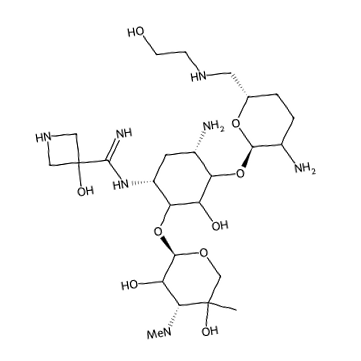 CN[C@@H]1C(O)[C@@H](OC2C(O)C(O[C@H]3O[C@H](CNCCO)CCC3N)[C@@H](N)C[C@H]2NC(=N)C2(O)CNC2)OCC1(C)O